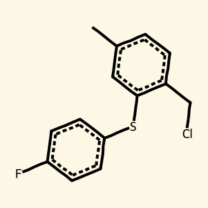 Cc1ccc(CCl)c(Sc2ccc(F)cc2)c1